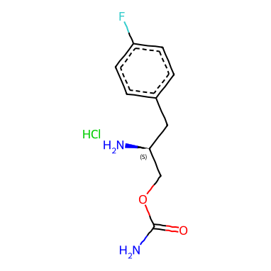 Cl.NC(=O)OC[C@@H](N)Cc1ccc(F)cc1